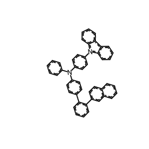 c1ccc(N(c2ccc(-c3ccccc3-c3ccc4ccccc4c3)cc2)c2ccc(-n3c4ccccc4c4ccccc43)cc2)cc1